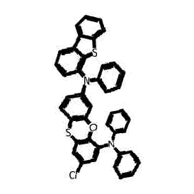 Clc1cc2c(c(N(c3ccccc3)c3ccccc3)c1)Oc1cc(N(c3ccccc3)c3cccc4c3sc3ccccc34)ccc1S2